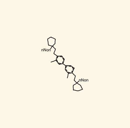 CCCCCCCCCC1(CCc2ccc(-c3ccc(CCC4(CCCCCCCCC)CCCCC4)c(C)c3)cc2C)CCCCC1